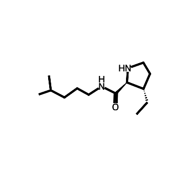 CC[C@H]1CCN[C@@H]1C(=O)NCCCC(C)C